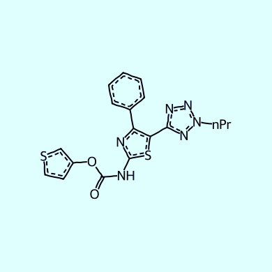 CCCn1nnc(-c2sc(NC(=O)Oc3ccsc3)nc2-c2ccccc2)n1